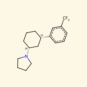 FC(F)(F)c1cccc([C@H]2CCC[C@@H](N3CCCC3)C2)c1